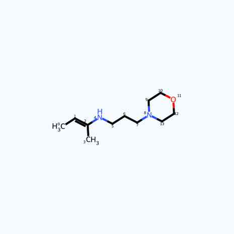 C/C=C(\C)NCCCN1CCOCC1